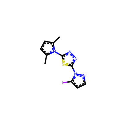 Cc1ccc(C)n1-c1nnc(-n2nccc2I)s1